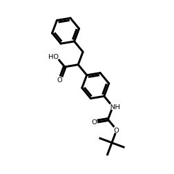 CC(C)(C)OC(=O)Nc1ccc(C(Cc2ccccc2)C(=O)O)cc1